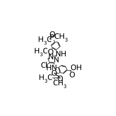 COc1cc(P(C)(C)=O)ccc1Nc1ncc(Cl)c(Nc2ccc(C(=O)O)cc2S(=O)(=O)C(C)C)n1